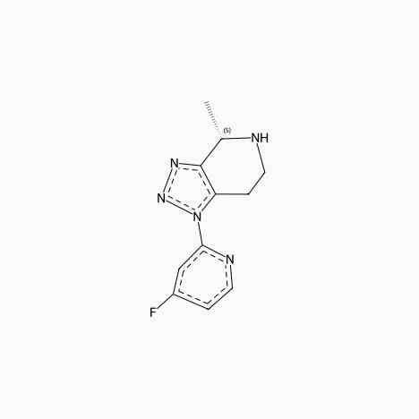 C[C@@H]1NCCc2c1nnn2-c1cc(F)ccn1